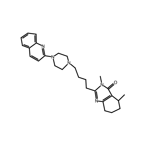 CC1CCCc2nc(CCCCN3CCN(c4ccc5ccccc5n4)CC3)n(C)c(=O)c21